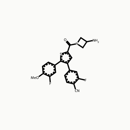 COc1ccc(-c2sc(C(=O)N3CC(N)C3)cc2-c2ccc(C#N)c(F)c2)cc1F